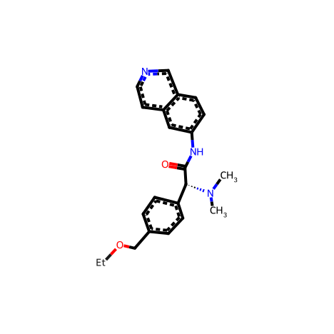 CCOCc1ccc([C@H](C(=O)Nc2ccc3cnccc3c2)N(C)C)cc1